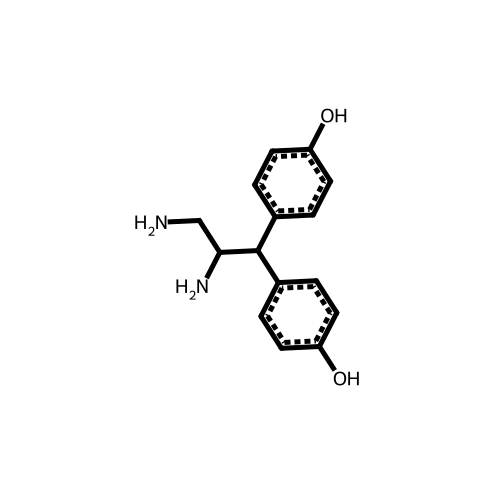 NCC(N)C(c1ccc(O)cc1)c1ccc(O)cc1